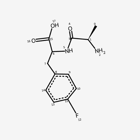 C[C@@H](N)C(=O)NC(Cc1ccc(F)cc1)C(=O)O